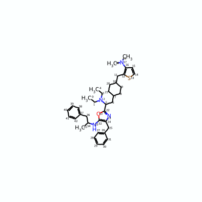 CCN(CC)C(CC1CCC(Cc2sccc2N(C)C)CC1)c1nc(Cc2ccccc2)c(NC(C)Cc2ccccc2)o1